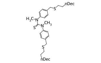 CCCCCCCCCCCCSCc1ccc(N(C)C(=S)N(C)c2ccc(CSCCCCCCCCCCCC)cc2)cc1